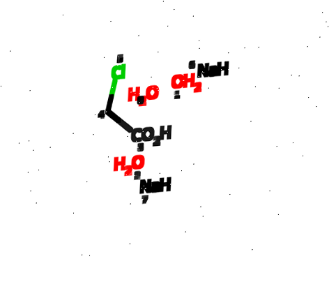 O.O.O.O=C(O)CCl.[NaH].[NaH]